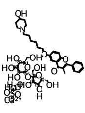 Cc1c(-c2ccccc2)oc2ccc(OCCCCCCN3CCC(O)CC3)cc2c1=O.O.O.O=S(=O)([O-])[O-].OC[C@H]1O[C@@](CO)(O[C@H]2O[C@H](CO)[C@@H](O)[C@H](O)[C@H]2O)[C@@H](O)[C@@H]1O.[Ca+2]